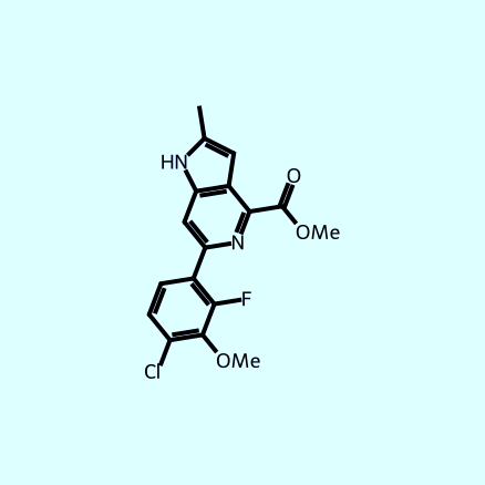 COC(=O)c1nc(-c2ccc(Cl)c(OC)c2F)cc2[nH]c(C)cc12